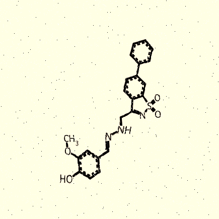 COc1cc(/C=N/NCC2=NS(=O)(=O)c3cc(-c4ccccc4)ccc32)ccc1O